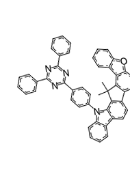 CC1(C)c2c(ccc3oc4ccccc4c23)-c2ccc3c4ccccc4n(-c4ccc(-c5nc(-c6ccccc6)nc(-c6ccccc6)n5)cc4)c3c21